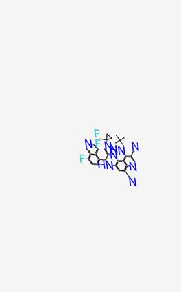 CC(C)(C)CNc1c(C#N)cnc2c(C#N)cc(N[C@H](c3cn(C4(C(F)F)CC4)nn3)c3ccc(F)c4cnccc34)cc12